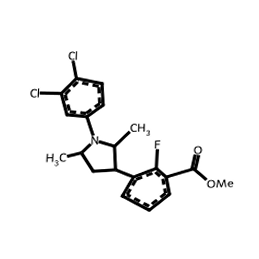 COC(=O)c1cccc(C2CC(C)N(c3ccc(Cl)c(Cl)c3)C2C)c1F